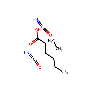 CC.CCCCCC(=O)O.N=C=O.N=C=O